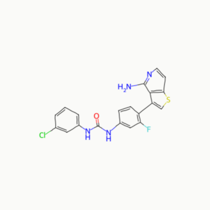 Nc1nccc2scc(-c3ccc(NC(=O)Nc4cccc(Cl)c4)cc3F)c12